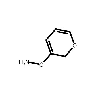 NOC1=CC=CO[CH]1